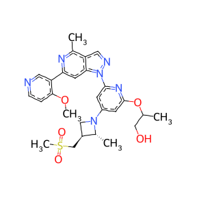 COc1ccncc1-c1cc2c(cnn2-c2cc(N3C[C@H](CS(C)(=O)=O)[C@H]3C)cc(OC(C)CO)n2)c(C)n1